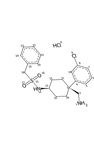 Cl.NC[C@]1(c2cccc(Cl)c2)CC[C@H](NS(=O)(=O)Cc2ccccc2)CC1